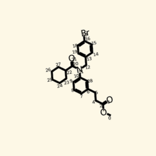 COC(=O)CCc1cccc(N(Cc2ccc(Br)cc2)C(=O)C2CCCCC2)c1